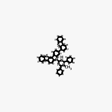 CN1C(c2ccccc2)=NC(n2c3cc(-c4cccc5c4sc4ccccc45)ccc3c3c4sc5ccccc5c4ccc32)NC1c1ccccc1